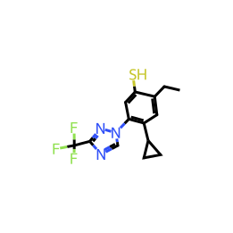 CCc1cc(C2CC2)c(-n2cnc(C(F)(F)F)n2)cc1S